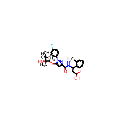 Cc1ccccc1C(CC(=O)O)NC(=O)c1cc(OCC(C)(O)C(C)(C)C)n(-c2ccc(F)cc2)n1